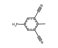 Cc1c(C#N)cc(P)cc1C#N